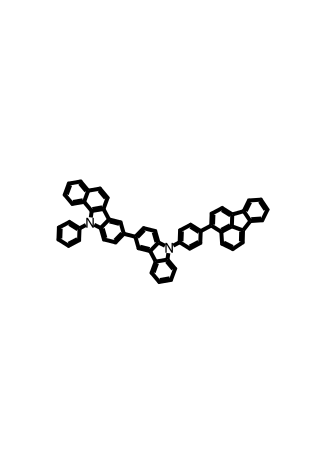 c1ccc(-n2c3ccc(-c4ccc5c(c4)c4ccccc4n5-c4ccc(-c5ccc6c7c(cccc57)-c5ccccc5-6)cc4)cc3c3ccc4ccccc4c32)cc1